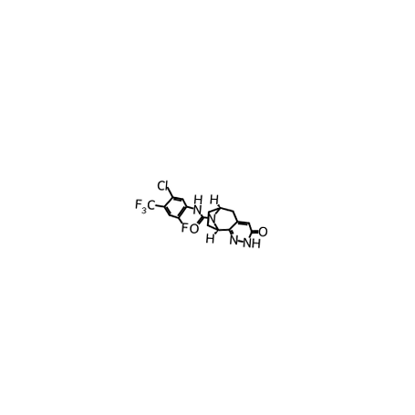 O=C(Nc1cc(Cl)c(C(F)(F)F)cc1F)N1[C@@H]2CC[C@H]1c1n[nH]c(=O)cc1C2